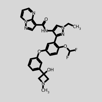 CCn1cc(NC(=O)c2cnn3cccnc23)c(-c2cc(Oc3cccc(C4(O)CN(C)C4)c3)ccc2OC(F)F)n1